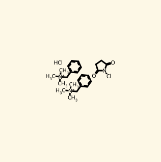 C[N+](C)(C)Cc1ccccc1.C[N+](C)(C)Cc1ccccc1.Cl.O=C1CCC(=O)N1Cl